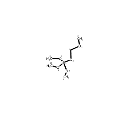 COCO[Si](OC)(OC)OC